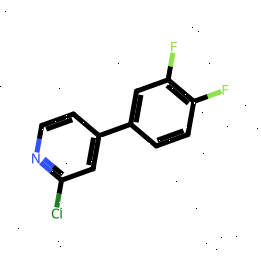 Fc1ccc(-c2ccnc(Cl)c2)cc1F